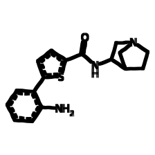 Nc1ccccc1-c1ccc(C(=O)NC2CN3CCC2C3)s1